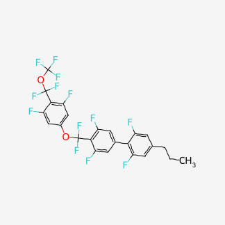 CCCc1cc(F)c(-c2cc(F)c(C(F)(F)Oc3cc(F)c(C(F)(F)OC(F)(F)F)c(F)c3)c(F)c2)c(F)c1